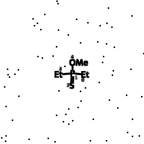 CCP(=S)(CC)OC